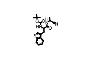 CC(C#N)NC(=O)C(Cc1csc2ccccc12)NC(=O)OC(C)(C)C